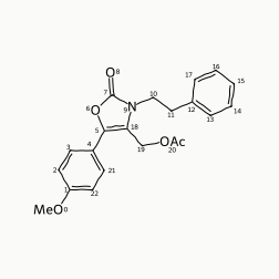 COc1ccc(-c2oc(=O)n(CCc3ccccc3)c2COC(C)=O)cc1